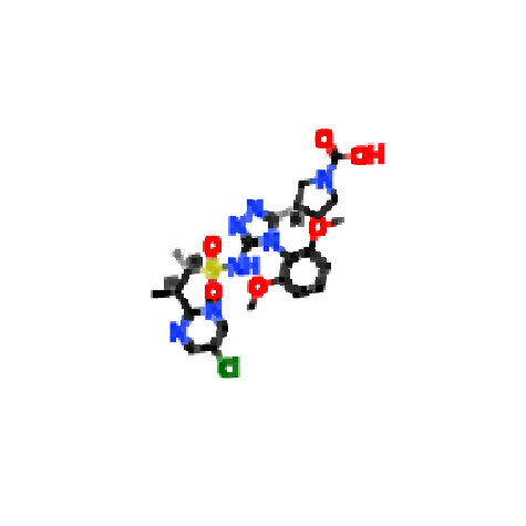 COc1cccc(OC)c1-n1c(NS(=O)(=O)[C@@H](C)[C@H](C)c2ncc(Cl)cn2)nnc1[C@H]1CCN(C(=O)O)C1